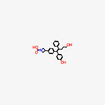 O=C(O)N1CC(c2ccc(/C(=C(/CCCO)c3ccccc3)c3ccc(O)cc3)cc2)C1